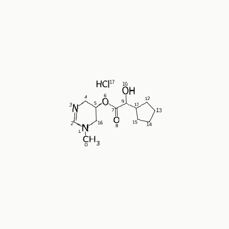 CN1C=NCC(OC(=O)C(O)C2CCCC2)C1.Cl